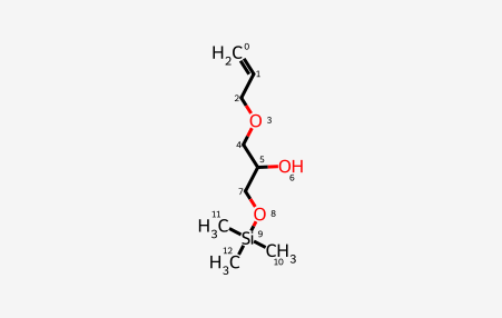 C=CCOCC(O)CO[Si](C)(C)C